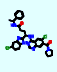 CC(NC(=O)CC[C@@H](Nc1ncnc2cc(C(=O)N3CCCC3)c(Cl)cc12)c1nc2cc(Cl)ccc2[nH]1)c1ccccc1